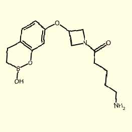 NCCCCC(=O)N1CC(Oc2ccc3c(c2)OB(O)CC3)C1